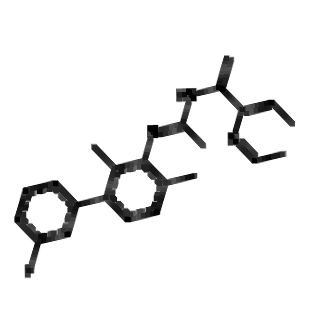 C=C(N/C(C)=N/c1c(C)ccc(-c2cccc(F)c2)c1C)C(=C/C)/N=C\C